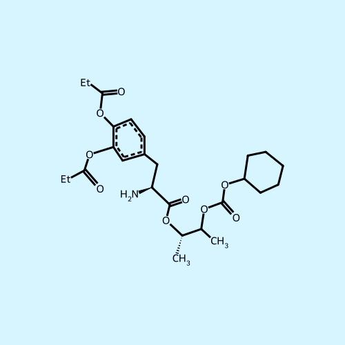 CCC(=O)Oc1ccc(C[C@H](N)C(=O)O[C@@H](C)C(C)OC(=O)OC2CCCCC2)cc1OC(=O)CC